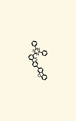 c1ccc(-c2nc(-c3ccccc3)nc(-c3cccc4c3sc3cc(-c5ccc6c(c5)oc5ccccc56)ccc34)n2)cc1